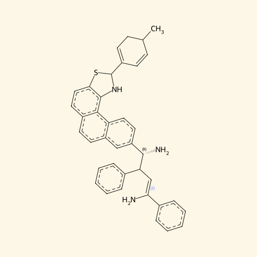 CC1C=CC(C2Nc3c(ccc4ccc5cc([C@H](N)C(/C=C(\N)c6ccccc6)c6ccccc6)ccc5c34)S2)=CC1